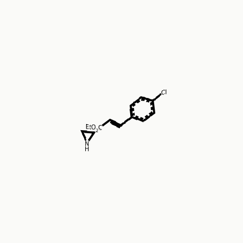 C1CN1.CCOC(=O)C=Cc1ccc(Cl)cc1